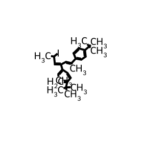 C=C(\C=C/C(=C\C)C(=C/C(C)I)/C=C(\C)c1ccc(C(C)(C)C)cc1)C(C)(C)C